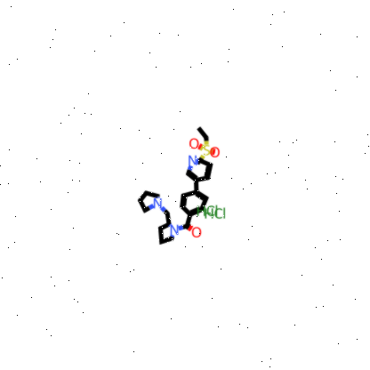 CCS(=O)(=O)c1ccc(-c2ccc(C(=O)N3CCCC3CN3CCCC3)cc2)cn1.Cl.Cl